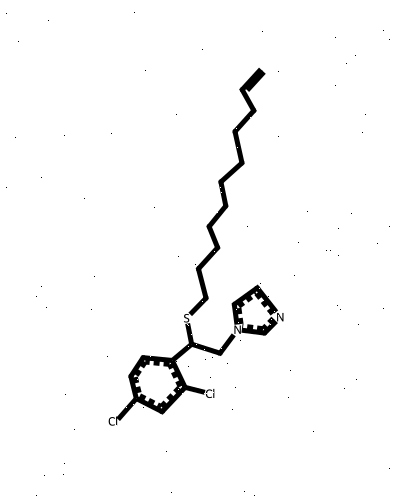 C=CCCCCCCCCCSC(Cn1ccnc1)c1ccc(Cl)cc1Cl